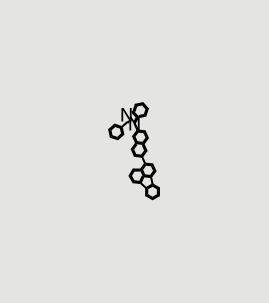 c1ccc(-c2nc3ccccc3n2-c2ccc3cc(-c4ccc5c6c(cccc46)-c4ccccc4-5)ccc3c2)cc1